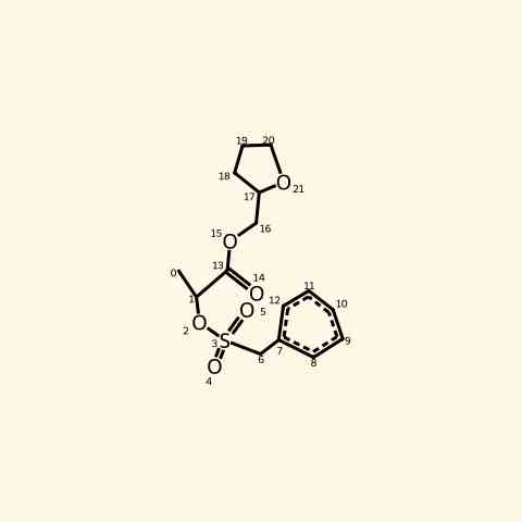 CC(OS(=O)(=O)Cc1ccccc1)C(=O)OCC1CCCO1